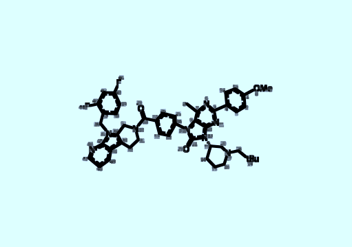 COc1ccc(-c2nc(C)c3c(n2)n([C@H]2CCCN(CC(C)(C)C)C2)c(=O)n3-c2ccc(C(=O)N3CCc4c(n(Cc5ccc(F)cc5F)c5ncccc45)C3)cc2)cc1